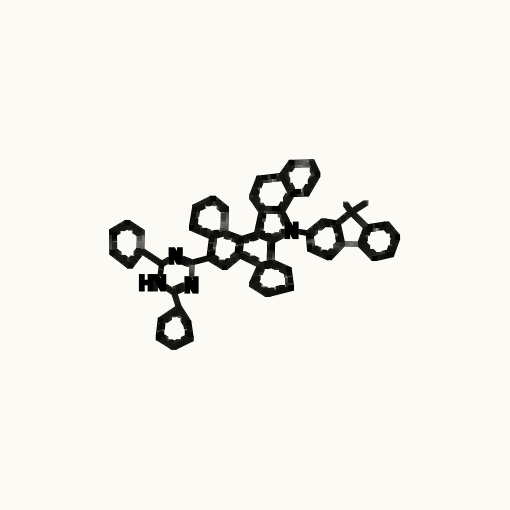 CC1(C)c2ccccc2-c2ccc(-n3c4c5ccccc5ccc4c4c5c6ccccc6c(C6=NC(c7ccccc7)NC(c7ccccc7)=N6)cc5c5ccccc5c43)cc21